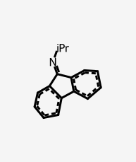 CC(C)N=C1c2ccccc2-c2ccccc21